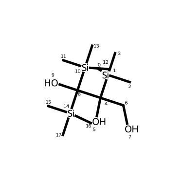 C[Si](C)(C)C(O)(CO)C(O)([Si](C)(C)C)[Si](C)(C)C